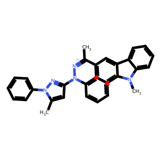 C/C(=N/N(c1ccccc1)c1cc(C)n(-c2ccccc2)n1)c1ccc2c(c1)c1ccccc1n2C